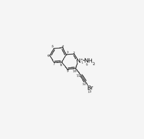 N[n+]1cc2ccccc2cc1C#CBr